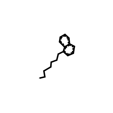 [CH2]CCCCCCc1cccc2ccccc12